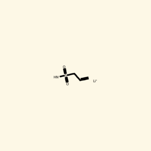 C=CCS([NH-])(=O)=O.[Li+]